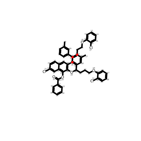 Cc1cccc(C(CCCOc2ccccc2Cl)Oc2cc3ccc(Cl)cc3c(OC(=O)c3ccccc3)c2OC(CCCOc2ccccc2Cl)c2cccc(C)c2)c1